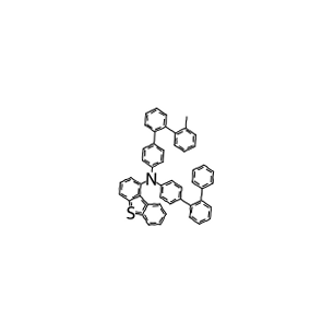 Cc1ccccc1-c1ccccc1-c1ccc(N(c2ccc(-c3ccccc3-c3ccccc3)cc2)c2cccc3sc4ccccc4c23)cc1